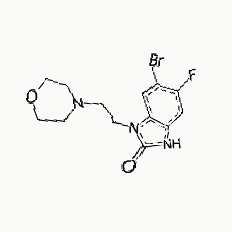 O=c1[nH]c2cc(F)c(Br)cc2n1CCN1CCOCC1